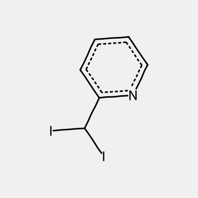 IC(I)c1ccccn1